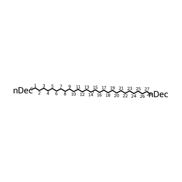 CCCCCCCCCCCCCCCCCCCCCCC[CH]CCCCCCCCCCCCCCCCCCCCCCC